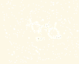 C[C@@H]1CNCC[C@H]1NC(=O)OC(C)(C)C.Cl